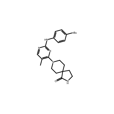 CCCCc1ccc(Nc2ncc(C)c(N3CCC4(CCNC4=O)CC3)n2)cc1